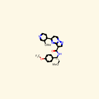 COC[C@@H](NC(=O)c1cnn2ccc(-c3ccncc3OC)nc12)c1ccc(OC(F)(F)F)cc1